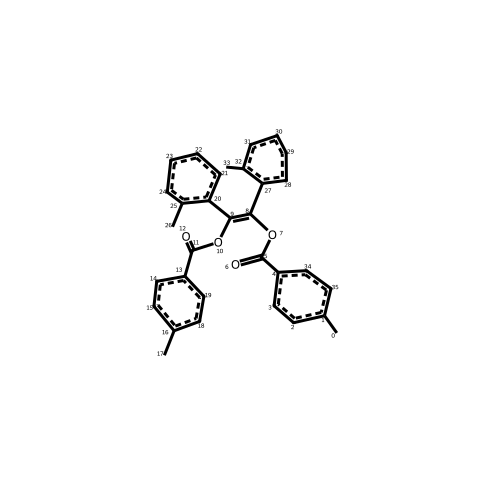 Cc1ccc(C(=O)OC(=C(OC(=O)c2ccc(C)cc2)c2ccccc2C)c2ccccc2C)cc1